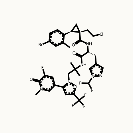 Cc1cc(Br)ccc1[C@H]1C[C@]1(CCCl)C(=O)N[C@H](Cc1cnn(C(F)F)c1)C(=O)NC(C)(C)Cn1nc(C(F)(F)F)cc1-c1cc(F)c(=O)n(C)c1